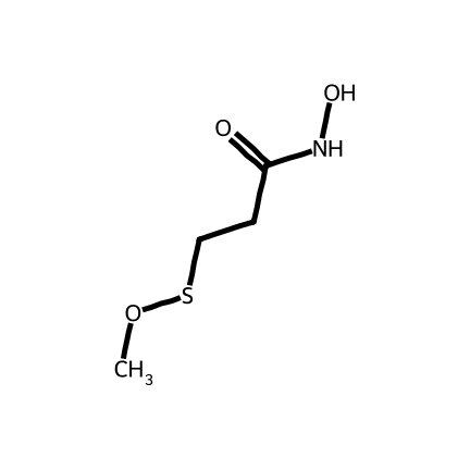 COSCCC(=O)NO